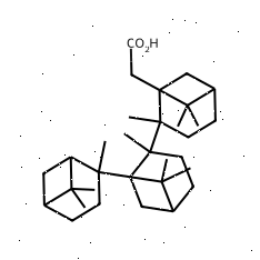 CC1(C)C2CCC(C)(C34CC(CCC3(C)C3(C)CCC5CC3(CC(=O)O)C5(C)C)C4(C)C)C1C2